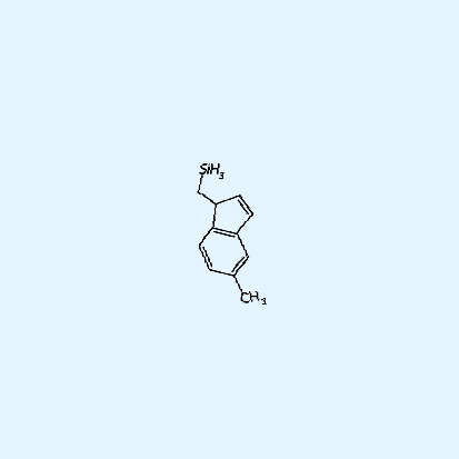 Cc1ccc2c(c1)C=CC2C[SiH3]